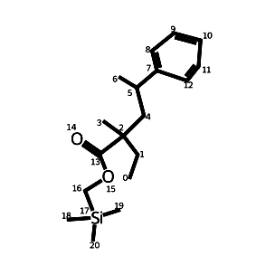 CCC(C)(CC(C)c1ccccc1)C(=O)OC[Si](C)(C)C